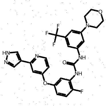 O=C(Nc1cc(N2CCOCC2)cc(C(F)(F)F)c1)Nc1cc(Oc2ccnc(-c3cn[nH]c3)c2)ccc1F